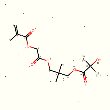 C=C(C)C(=O)OCC(=O)OCC(C)(C)COC(=O)C(O)(C(F)(F)F)C(F)(F)F